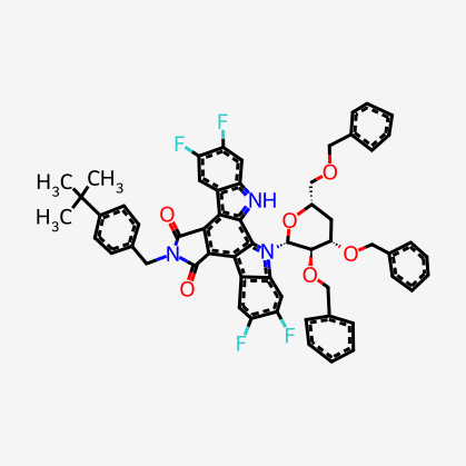 CC(C)(C)c1ccc(CN2C(=O)c3c(c4c5cc(F)c(F)cc5n([C@@H]5O[C@H](COCc6ccccc6)C[C@H](OCc6ccccc6)[C@H]5OCc5ccccc5)c4c4[nH]c5cc(F)c(F)cc5c34)C2=O)cc1